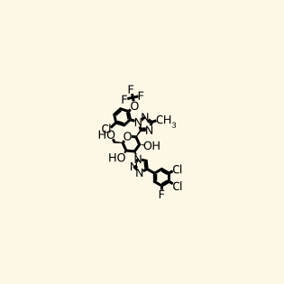 Cc1nc([C@@H]2O[C@H](CO)[C@H](O)[C@H](n3cc(-c4cc(F)c(Cl)c(Cl)c4)nn3)[C@H]2O)n(-c2cc(Cl)ccc2OC(F)(F)F)n1